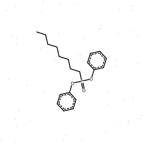 CCCCCCCCP(=O)(Oc1ccccc1)Oc1ccccc1